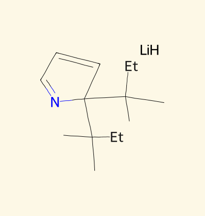 CCC(C)(C)C1(C(C)(C)CC)C=CC=N1.[LiH]